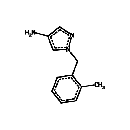 Cc1ccccc1Cn1cc(N)cn1